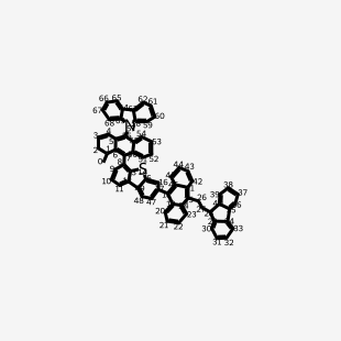 CC1CC=Cc2c1c(-c1cccc3c1sc1cc(-c4c5ccccc5c(CCC5c6ccccc6-c6ccccc65)c5ccccc45)ccc13)c1ccccc1c2-n1c2ccccc2c2ccccc21